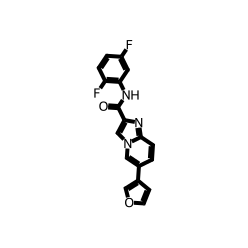 O=C(Nc1cc(F)ccc1F)c1cn2cc(-c3ccoc3)ccc2n1